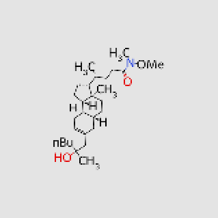 CCCCC(C)(O)CC1=CC[C@@H]2[C@H](CC[C@]3(C)[C@@H]([C@H](C)CCC(=O)N(C)OC)CC[C@@H]23)C1